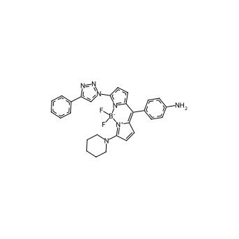 Nc1ccc(C2=C3C=CC(N4CCCCC4)=[N+]3[B-](F)(F)n3c2ccc3-n2cc(-c3ccccc3)nn2)cc1